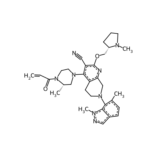 C=CC(=O)N1CCN(c2c(C#N)c(OC[C@@H]3CCCN3C)nc3c2CCN(c2c(C)ccc4cnn(C)c24)C3)C[C@@H]1C